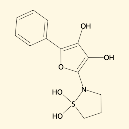 Oc1c(-c2ccccc2)oc(N2CCCS2(O)O)c1O